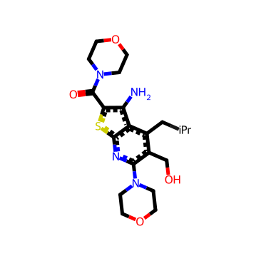 CC(C)Cc1c(CO)c(N2CCOCC2)nc2sc(C(=O)N3CCOCC3)c(N)c12